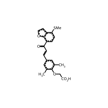 CSc1ccc(C(=O)/C=C/c2cc(C)c(OCC(=O)O)c(C)c2)c2occc12